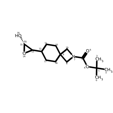 CC(C)(C)OC(=O)N1CC2(CCC(C3O[C@@H]3O)CC2)C1